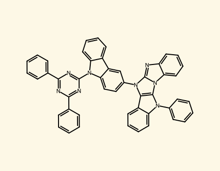 c1ccc(-c2nc(-c3ccccc3)nc(-n3c4ccccc4c4cc(-n5c6c7ccccc7n(-c7ccccc7)c6n6c7ccccc7nc56)ccc43)n2)cc1